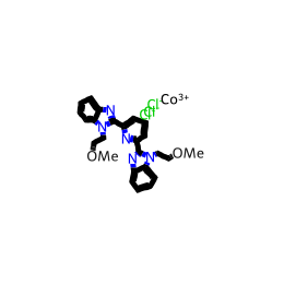 COCCn1c(-c2cccc(-c3nc4ccccc4n3CCOC)n2)nc2ccccc21.[Cl-].[Cl-].[Cl-].[Co+3]